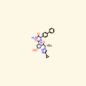 CC(C)(C)[C@@H](C(=O)N1C[C@H](O)C[C@H]1C(=O)N[C@@H](C(N)=O)c1ccc(-c2ccccc2)cc1)n1cc(C2CC2)nn1